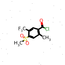 Cc1cc(S(C)(=O)=O)c(C(F)(F)F)cc1C(=O)Cl